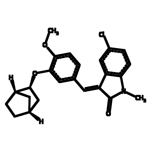 COc1ccc(/C=C2/C(=O)N(C)c3ccc(Cl)cc32)cc1O[C@H]1C[C@@H]2CC[C@H]1C2